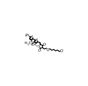 CC(C)c1cc2c(s1)-c1sc(/C=C3\SC(=O)C(CCOCCCCCCCl)C3=O)cc1[Si]2(C)C